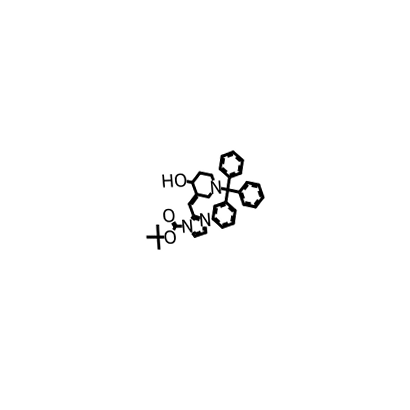 CC(C)(C)OC(=O)n1ccnc1/C=C1\CN(C(c2ccccc2)(c2ccccc2)c2ccccc2)CCC1O